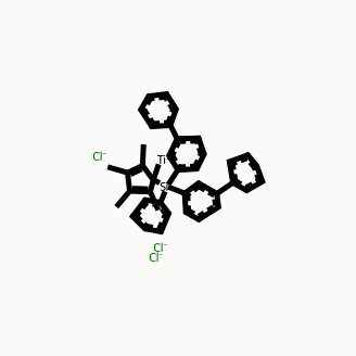 CC1=C(C)[C]([Ti+3])([Si](c2ccccc2)(c2cccc(-c3ccccc3)c2)c2cccc(-c3ccccc3)c2)C(C)=C1C.[Cl-].[Cl-].[Cl-]